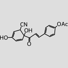 CC(=O)Oc1ccc(C=CC(=O)C2(O)C=CC(O)=CC2C#N)cc1